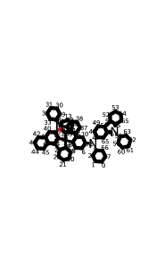 c1ccc(N(c2ccc3c(c2)-c2ccccc2C32c3ccccc3-c3c2c(N(c2ccccc2)c2ccccc2)cc2ccccc32)c2ccc3c4ccccc4n(-c4ccccc4)c3c2)cc1